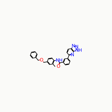 Cc1cc(COCc2ccccc2)ccc1NC(=O)c1cccc(-c2ccc3nn[nH]c3n2)c1